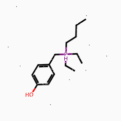 CCCC[PH](CC)(CC)Cc1ccc(O)cc1